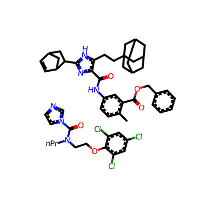 CCCN(CCOc1c(Cl)cc(Cl)cc1Cl)C(=O)n1ccnc1.Cc1ccc(NC(=O)c2nc(C3CC4C=CC3C4)[nH]c2CCC23CC4CC(CC(C4)C2)C3)cc1C(=O)OCc1ccccc1